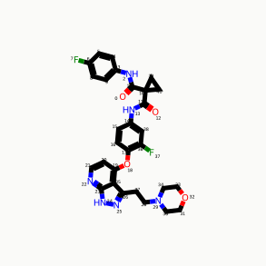 O=C(Nc1ccc(F)cc1)C1(C(=O)Nc2ccc(Oc3ccnc4[nH]nc(CCN5CCOCC5)c34)c(F)c2)CC1